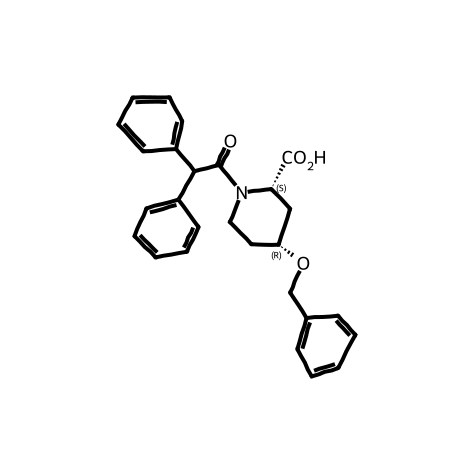 O=C(O)[C@@H]1C[C@H](OCc2ccccc2)CCN1C(=O)C(c1ccccc1)c1ccccc1